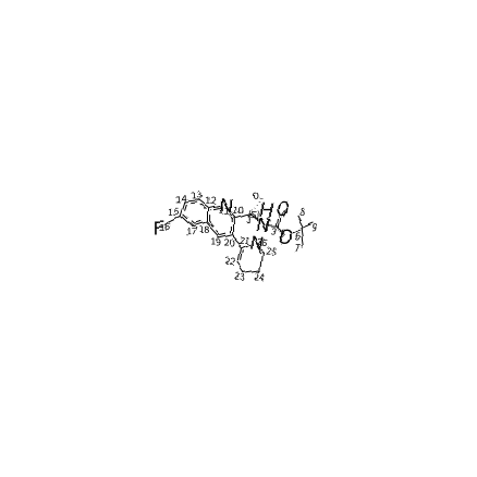 C[C@H](NC(=O)OC(C)(C)C)c1nc2ccc(F)cc2cc1C1=CCCC=N1